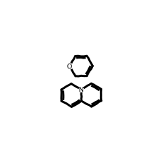 C1=CCN2C=CC=CC2=C1.C1=CCOC=C1